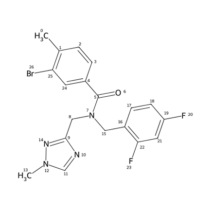 Cc1ccc(C(=O)N(Cc2ncn(C)n2)Cc2ccc(F)cc2F)cc1Br